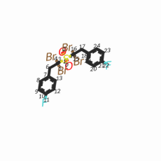 O=S(=O)(C(Br)(Br)Cc1ccc(F)cc1)C(Br)(Br)Cc1ccc(F)cc1